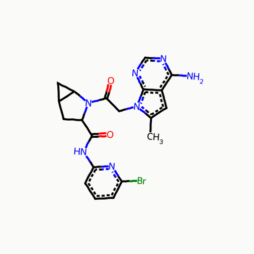 Cc1cc2c(N)ncnc2n1CC(=O)N1C(C(=O)Nc2cccc(Br)n2)CC2CC21